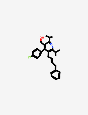 CC(C)c1nc(C(C)C)c(CC=CCc2ccccc2)c(-c2ccc(F)cc2)c1CO